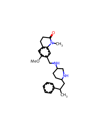 COc1cc2c(cc1CNC1CCC(CC(C)c3ccccc3)NC1)N(C)C(=O)CC2